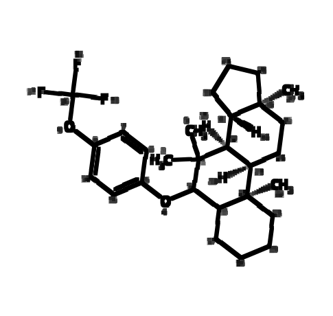 CC1(C)C(Oc2ccc(OC(F)(F)F)cc2)C2CCCC[C@]2(C)[C@@H]2CC[C@]3(C)CCC[C@H]3[C@@H]21